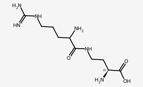 N=C(N)NCCCC(N)C(=O)NCC[C@H](N)C(=O)O